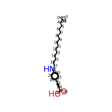 C[Si](C)(C)CCCCCCCCCCCCCCNc1ccc(C#CC(=O)O)cc1